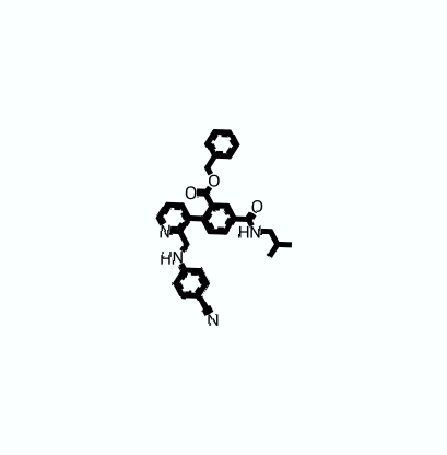 CC(C)CNC(=O)c1ccc(-c2cccnc2CNc2ccc(C#N)cc2)c(C(=O)OCc2ccccc2)c1